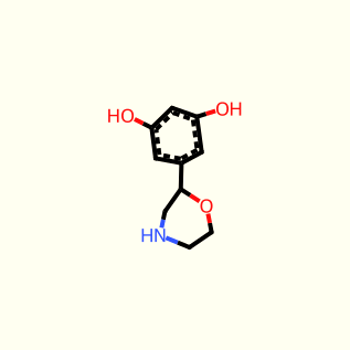 Oc1cc(O)cc(C2CNCCO2)c1